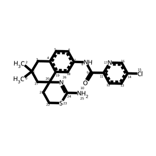 CC1(C)Cc2ccc(NC(=O)c3ccc(Cl)cn3)cc2C2(CCSC(N)=N2)C1